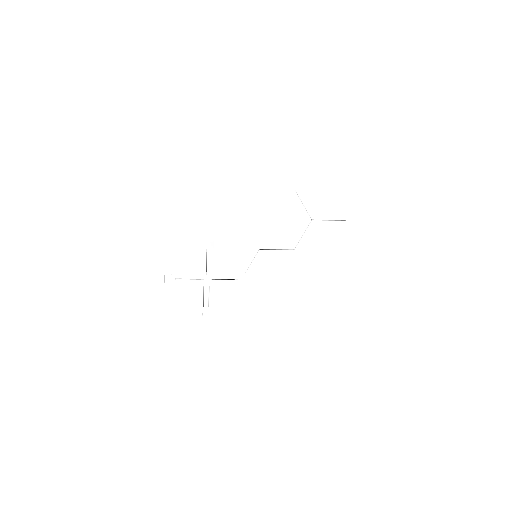 [CH2]C(C)CCOP(=O)(O)O